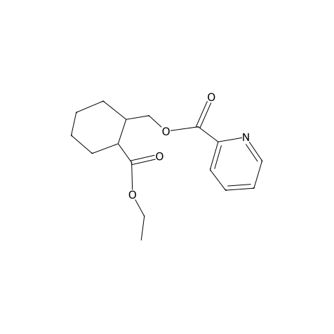 CCOC(=O)C1CCCCC1COC(=O)c1ccccn1